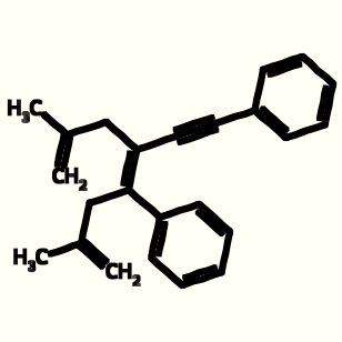 C=C(C)CC(C#Cc1ccccc1)=C(CC(=C)C)c1ccccc1